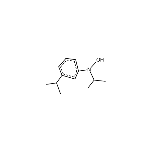 CC(C)c1cccc(N(O)C(C)C)c1